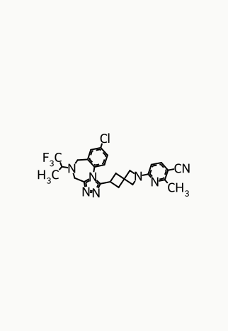 Cc1nc(N2CC3(CC(c4nnc5n4-c4ccc(Cl)cc4CN(C(C)C(F)(F)F)C5)C3)C2)ccc1C#N